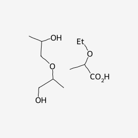 CC(O)COC(C)CO.CCOC(C)C(=O)O